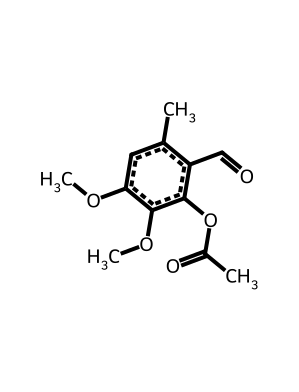 COc1cc(C)c(C=O)c(OC(C)=O)c1OC